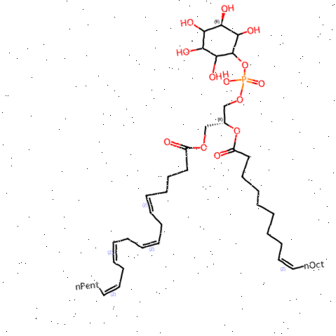 CCCCC/C=C\C/C=C\C/C=C\C/C=C\CCCC(=O)OC[C@H](COP(=O)(O)OC1C(O)C(O)C(O)[C@@H](O)C1O)OC(=O)CCCCCCC/C=C\CCCCCCCC